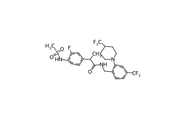 CC(C(=O)NCc1ccc(C(F)(F)F)cc1N1CCC(C(F)(F)F)CC1)c1ccc(NS(C)(=O)=O)c(F)c1